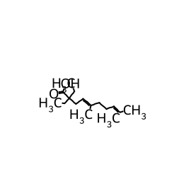 CCC(CC)(C/C=C(\C)CCC=C(C)C)C(=O)O